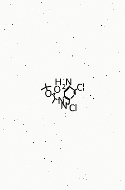 CC(C(=O)OC(C)(C)C)n1nc(Cl)c2cc(Cl)c(N)cc21